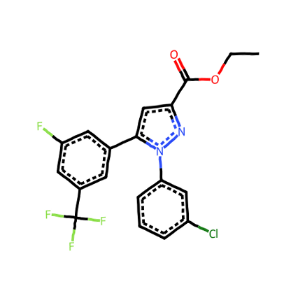 CCOC(=O)c1cc(-c2cc(F)cc(C(F)(F)F)c2)n(-c2cccc(Cl)c2)n1